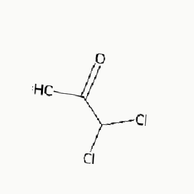 [CH]C(=O)C(Cl)Cl